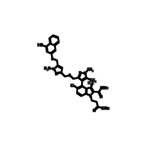 COC(=O)CCn1c(C(=O)OC)c(C)c2c(-c3c(CSCc4cc(CSc5cc(O)c6ccccc6c5)n(C)n4)nn(C)c3C)c(Cl)ccc21